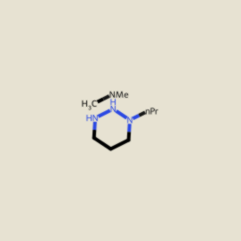 CCCN1CCCNN1.CNC